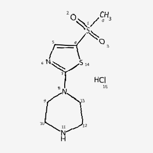 CS(=O)(=O)c1cnc(N2CCNCC2)s1.Cl